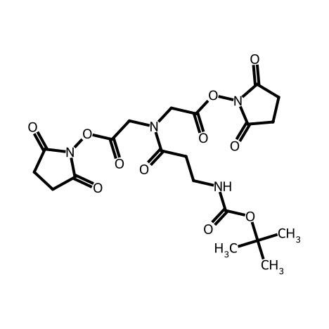 CC(C)(C)OC(=O)NCCC(=O)N(CC(=O)ON1C(=O)CCC1=O)CC(=O)ON1C(=O)CCC1=O